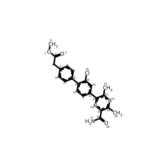 COC(=O)Cc1ccc(-c2ccc(-c3nc(C(N)=O)c(C)nc3C)cc2Cl)cc1